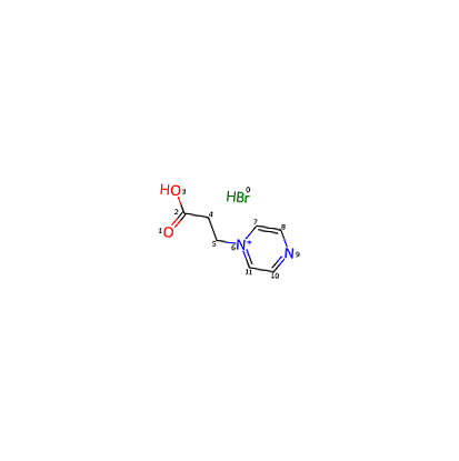 Br.O=C(O)CC[n+]1ccncc1